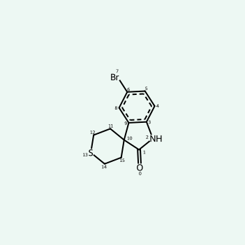 O=C1Nc2ccc(Br)cc2C12CCSCC2